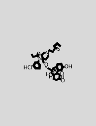 CCC(=O)N(c1ccccc1)C1(COC)CCN(CCc2cccs2)CC1.CN1CC[C@]23c4c5ccc(O)c4O[C@H]2C(=O)CC[C@H]3[C@H]1C5.Cl